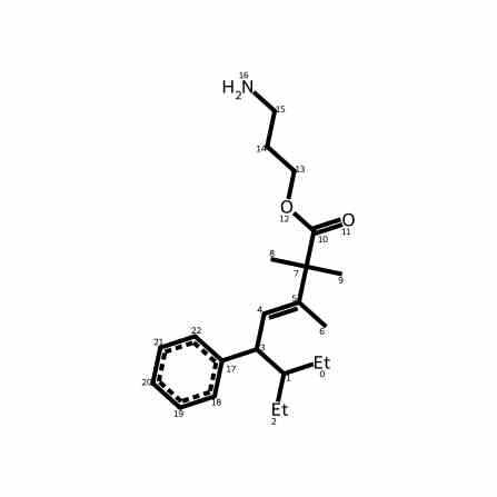 CCC(CC)C(/C=C(\C)C(C)(C)C(=O)OCCCN)c1ccccc1